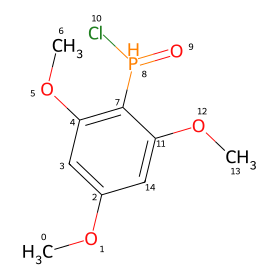 COc1cc(OC)c([PH](=O)Cl)c(OC)c1